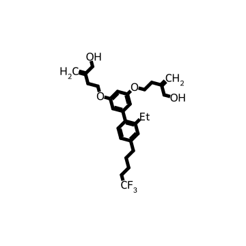 C=C(CO)CCOc1cc(OCCC(=C)CO)cc(-c2ccc(CCCCC(F)(F)F)cc2CC)c1